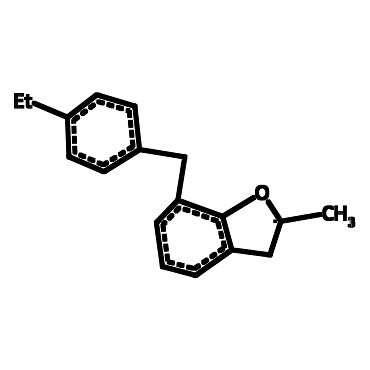 CCc1ccc(Cc2cccc3c2O[C](C)C3)cc1